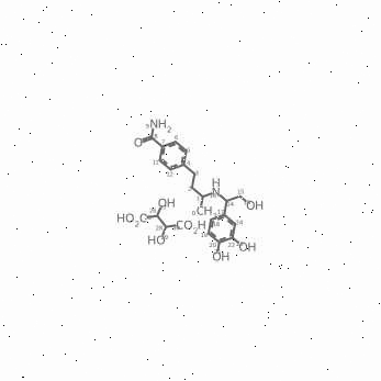 CC(CCc1ccc(C(N)=O)cc1)NC(CO)c1ccc(O)c(O)c1.O=C(O)C(O)C(O)C(=O)O